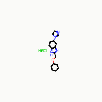 Cl.Cl.c1ccc(OCc2nc3cc(-n4ccnc4)ccc3[nH]2)cc1